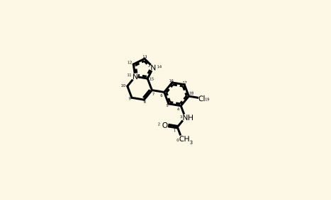 CC(=O)Nc1cc(C2=CCCn3ccnc32)ccc1Cl